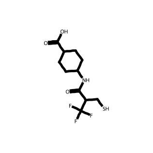 O=C(O)C1CCC(NC(=O)C(CS)C(F)(F)F)CC1